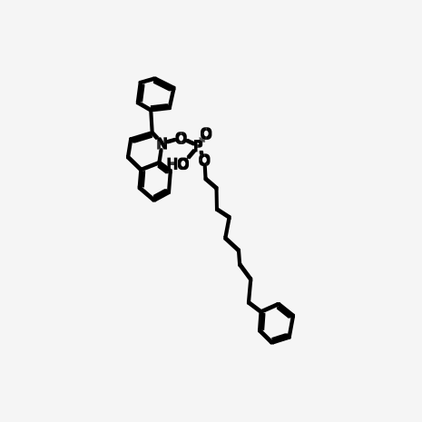 O=P(O)(OCCCCCCCCCc1ccccc1)ON1C(c2ccccc2)=CCc2ccccc21